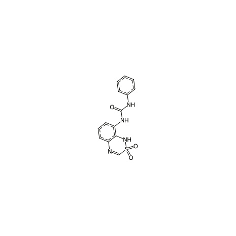 O=C(Nc1ccccc1)Nc1cccc2c1NS(=O)(=O)C=N2